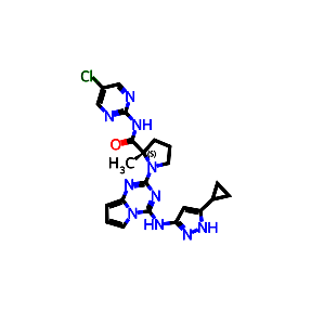 C[C@@]1(C(=O)Nc2ncc(Cl)cn2)CCCN1c1nc(Nc2cc(C3CC3)[nH]n2)n2cccc2n1